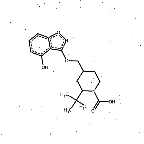 CC(C)(C)C1CC(COc2noc3cccc(O)c23)CCN1C(=O)O